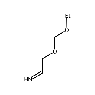 CCOCOCC=N